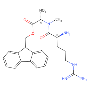 CN(C(=O)[C@@H](N)CCCNC(=N)N)[C@H](C(=O)OCC1c2ccccc2-c2ccccc21)[N+](=O)[O-]